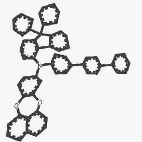 c1ccc(-c2ccc(-c3ccc(N(c4ccc5c(c4)Oc4cccc6cccc(c46)O5)c4cccc5c4-c4ccccc4C5(c4ccccc4)c4ccccc4)cc3)cc2)cc1